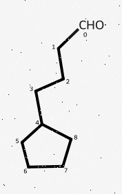 O=[C]CCCC1CCCC1